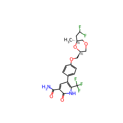 C[C@]1(CC(F)F)COC[C@@H](COc2ccc(-c3cc(C(N)=O)c(=O)[nH]c3C(F)(F)F)cc2)O1